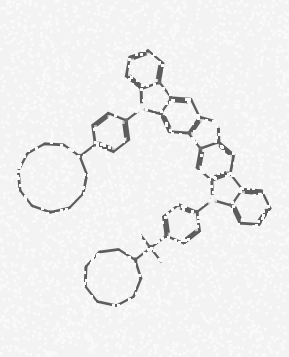 CC(C)(c1ccc(-n2c3ccccc3c3cc4sc5cc6c7ccccc7n(-c7ccc(C8CCCCCCCCCC8)cc7)c6cc5c4cc32)cc1)C1CCCCCCCC1